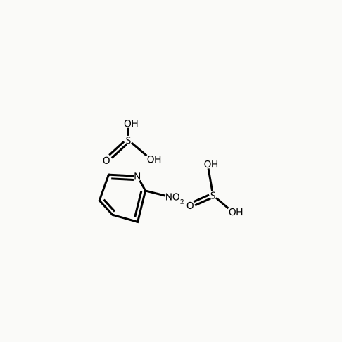 O=S(O)O.O=S(O)O.O=[N+]([O-])c1ccccn1